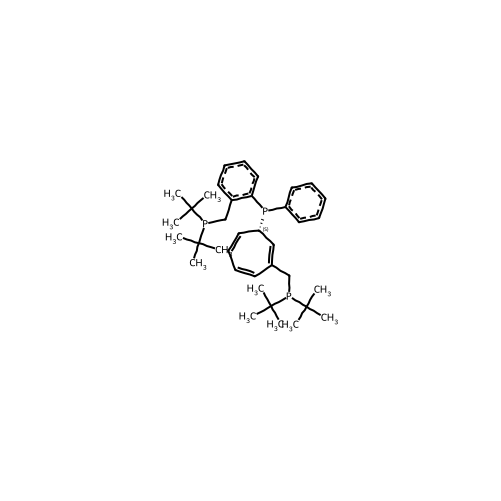 CC(C)(C)P(CC1=C[C@@H](P(c2ccccc2)c2ccccc2CP(C(C)(C)C)C(C)(C)C)C=CC=C1)C(C)(C)C